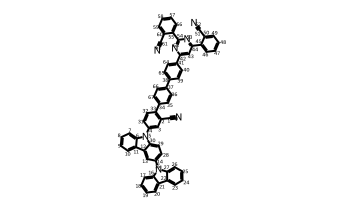 N#Cc1cc(-n2c3ccccc3c3cc(-n4c5ccccc5c5ccccc54)ccc32)ccc1-c1ccc(-c2ccc(-c3cc(-c4ccccc4C#N)nc(-c4ccccc4C#N)n3)cc2)cc1